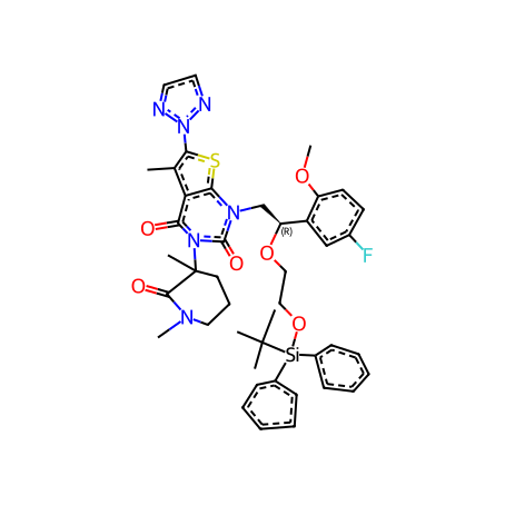 COc1ccc(F)cc1[C@H](Cn1c(=O)n(C2(C)CCCN(C)C2=O)c(=O)c2c(C)c(-n3nccn3)sc21)OCCO[Si](c1ccccc1)(c1ccccc1)C(C)(C)C